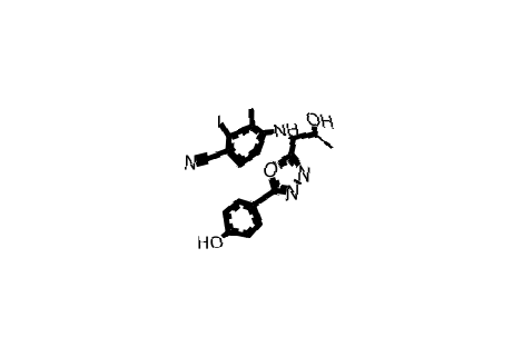 Cc1c(NC(c2nnc(-c3ccc(O)cc3)o2)[C@H](C)O)ccc(C#N)c1I